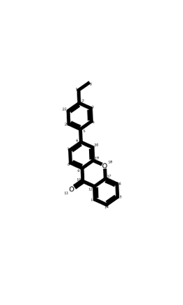 CCc1ccc(-c2ccc3c(=O)c4ccccc4oc3c2)cc1